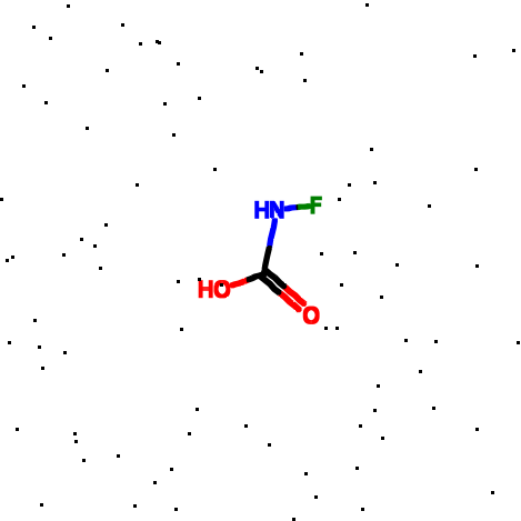 O=C(O)NF